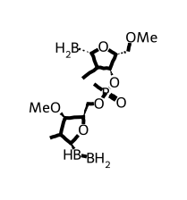 BB[C@@H]1O[C@H](COP(C)(=O)O[C@@H]2C(C)[C@H](B)O[C@@H]2COC)[C@H](OC)C1C